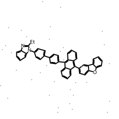 CCc1nc2ccccc2n1-c1ccc(-c2ccc(-c3c4ccccc4c(-c4ccc5oc6ccccc6c5c4)c4ccccc34)cc2)cc1